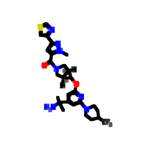 Cn1nc(-c2cscn2)cc1C(=O)N1C[C@@H]2C(Oc3cc(C(C)(C)N)cc(N4CCC(C(F)(F)F)CC4)n3)[C@@H]2C1